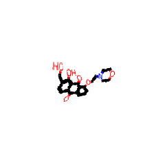 O=C1c2cccc(OCCN3CCOCC3)c2C(=O)c2c1ccc(CO)c2O